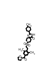 Cc1cc(C(=O)N2CCCO2)cc(C)c1CCS(=O)(=O)N1CCC2(CC1)N=C(C1CCC(C)CC1)NC2=O